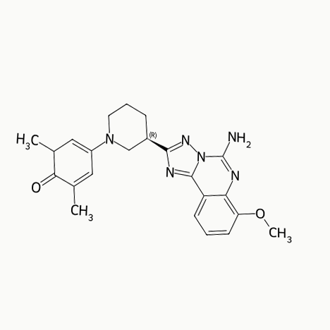 COc1cccc2c1nc(N)n1nc([C@@H]3CCCN(C4=CC(C)C(=O)C(C)=C4)C3)nc21